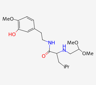 COc1ccc(CCNC(=O)C(CC(C)C)NCC(OC)OC)cc1O